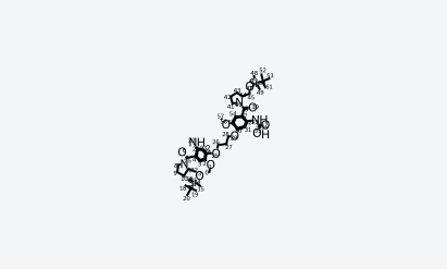 COc1cc(C(=O)N2CCCC2CO[Si](C)(C)C(C)(C)C)c(N)cc1OCCCOc1cc(NC(=O)O)c(C(=O)N2CCCC2CO[Si](C)(C)C(C)(C)C)cc1OC